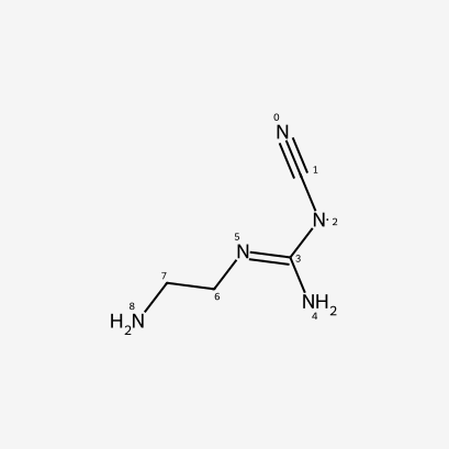 N#C[N]C(N)=NCCN